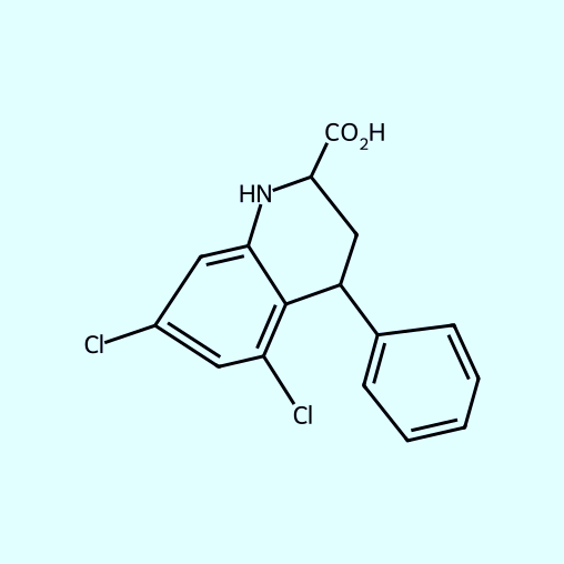 O=C(O)C1CC(c2ccccc2)c2c(Cl)cc(Cl)cc2N1